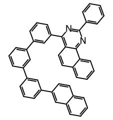 c1ccc(-c2nc(-c3cccc(-c4cccc(-c5cccc(-c6ccc7ccccc7c6)c5)c4)c3)c3ccc4ccccc4c3n2)cc1